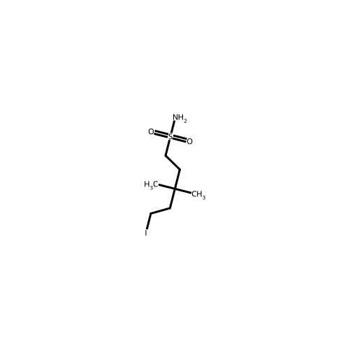 CC(C)(CCI)CCS(N)(=O)=O